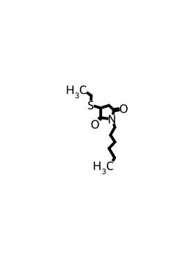 CCCCCCN1C(=O)CC(SCC)C1=O